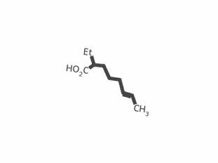 CC=CCCCC(CC)C(=O)O